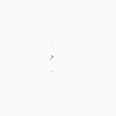 COC1CCC2(CC1)Cc1ccc(S)cc1C21N=C(N)N(C)C1=O